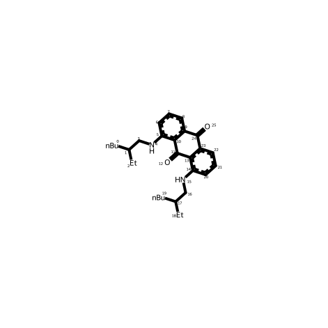 CCCCC(CC)CNc1cccc2c1C(=O)c1c(NCC(CC)CCCC)cccc1C2=O